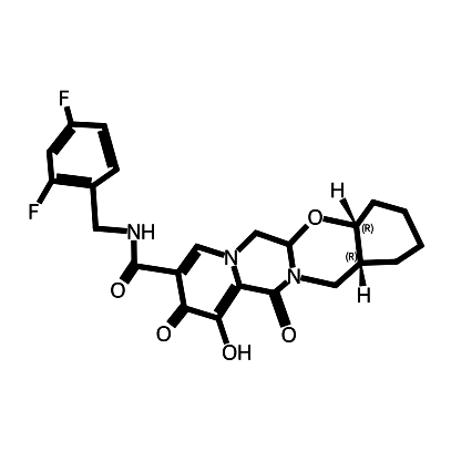 O=C(NCc1ccc(F)cc1F)c1cn2c(c(O)c1=O)C(=O)N1C[C@H]3CCCC[C@H]3OC1C2